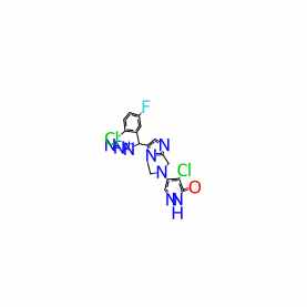 [N-]=[N+]=NC(c1cc(F)ccc1Cl)c1cnc2n1CCN(c1cn[nH]c(=O)c1Cl)C2